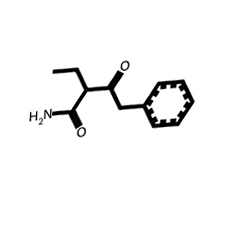 CCC(C(N)=O)C(=O)Cc1ccccc1